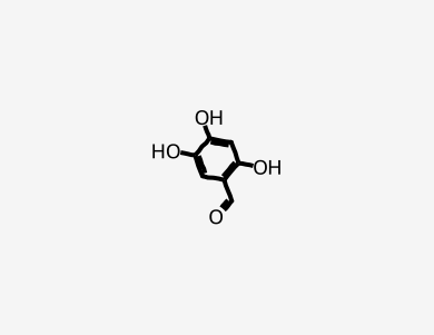 O=Cc1cc(O)c(O)cc1O